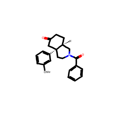 COc1cccc([C@@]23CCN(C(=O)c4ccccc4)C[C@@H]2CCC(=O)C3)c1